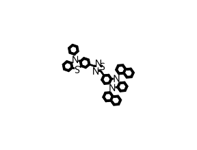 c1ccc(N2c3ccccc3Sc3cc(-c4nsc(-c5ccc6c(c5)N(c5cccc7ccccc57)c5ccccc5N6c5cccc6ccccc56)n4)ccc32)cc1